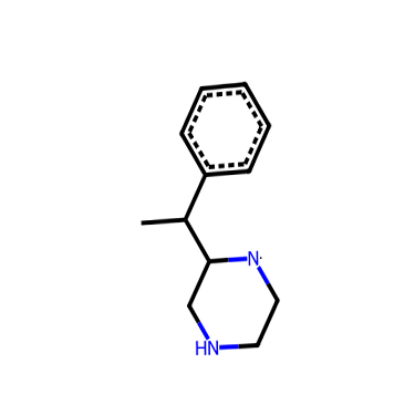 CC(c1ccccc1)C1CNCC[N]1